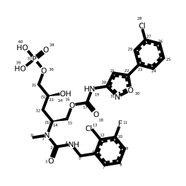 CN(C(=O)NCc1cccc(F)c1Cl)[C@H](COC(=O)Nc1cc(-c2cccc(Cl)c2)on1)C[C@H](O)COP(=O)(O)O